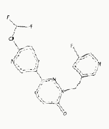 O=c1ccc(-c2ccc(OC(F)F)nc2)nn1Cc1cncc(F)c1